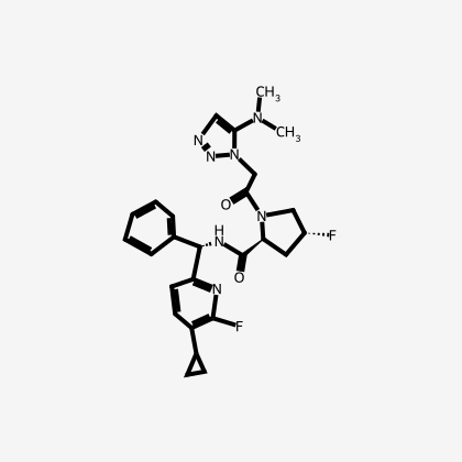 CN(C)c1cnnn1CC(=O)N1C[C@H](F)C[C@H]1C(=O)N[C@@H](c1ccccc1)c1ccc(C2CC2)c(F)n1